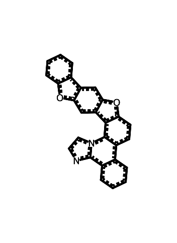 c1ccc2c(c1)oc1cc3c(cc12)oc1ccc2c4ccccc4c4nccn4c2c13